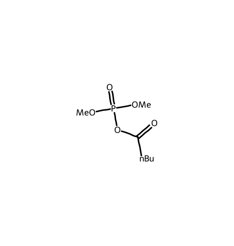 CCCCC(=O)OP(=O)(OC)OC